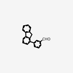 O=Cc1cccc(-c2cccc3c2Cc2ccccc2-3)c1